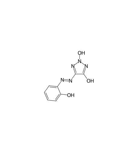 Oc1ccccc1N=Nc1nn(O)nc1O